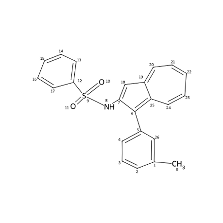 Cc1cccc(-c2c(NS(=O)(=O)c3ccccc3)cc3cccccc2-3)c1